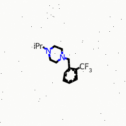 CC(C)N1CCN(Cc2ccccc2C(F)(F)F)CC1